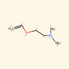 C=COCCN(C(C)(C)C)C(C)(C)C